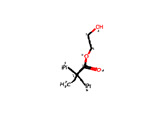 CC(C)C(C)(C(=O)OCCO)C(C)C